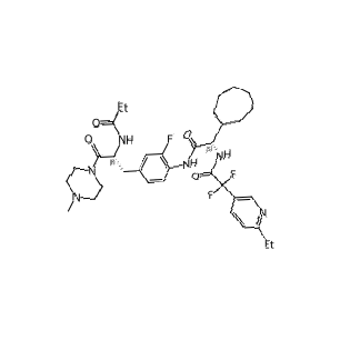 CCC(=O)N[C@H](Cc1ccc(NC(=O)[C@@H](NC(=O)C(F)(F)c2ccc(CC)nc2)C2CCCCCC2)c(F)c1)C(=O)N1CCN(C)CC1